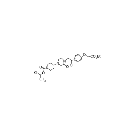 CCOC(=O)COc1ccc(C(=O)CN2CCN(C3CCN(C(=O)OC(C)Cl)CC3)CC2=O)cc1